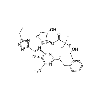 CCn1nnc(-c2nc3c(N)nc(NCc4ccccc4CO)nc3n2[C@@H]2OC[C@H](O)[C@H]2OC(=O)C(F)(F)F)n1